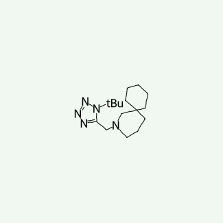 CC(C)(C)n1nnnc1CN1CCCC2(CCCCC2)C1